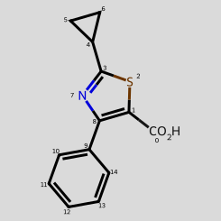 O=C(O)c1sc(C2CC2)nc1-c1ccccc1